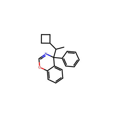 CC(C1CCC1)C1(c2ccccc2)N=COc2ccccc21